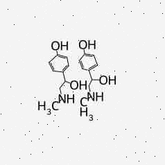 CNCC(O)c1ccc(O)cc1.CNCC(O)c1ccc(O)cc1